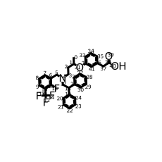 CC(CCN(Cc1cccc(C(F)(F)F)c1F)CC(c1ccccc1)c1ccccc1)Oc1cccc(CC(=O)O)c1